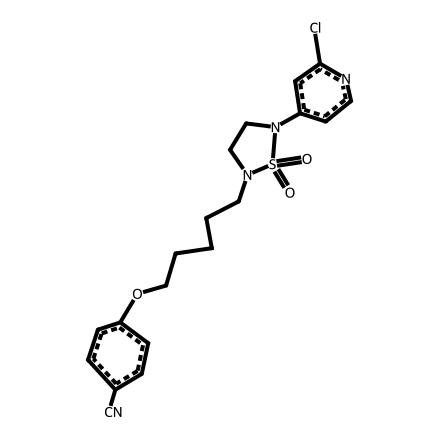 N#Cc1ccc(OCCCCCN2CCN(c3ccnc(Cl)c3)S2(=O)=O)cc1